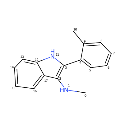 CNc1c(-c2ccccc2C)[nH]c2ccccc12